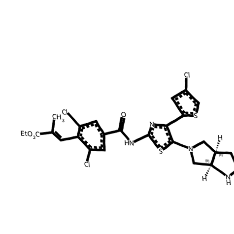 CCOC(=O)C(C)=Cc1c(Cl)cc(C(=O)Nc2nc(-c3cc(Cl)cs3)c(N3C[C@H]4CCN[C@H]4C3)s2)cc1Cl